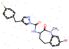 CN1C(=O)C(NC(=O)n2cc(Cc3ccc(F)cc3)cn2)CCc2ccc(Br)cc21